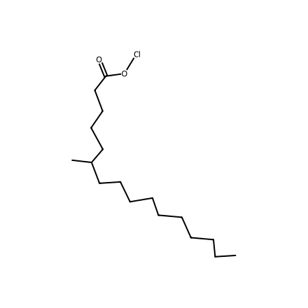 CCCCCCCCCCC(C)CCCCC(=O)OCl